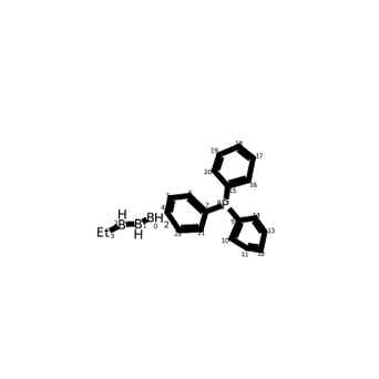 BBBCC.c1ccc(P(c2ccccc2)c2ccccc2)cc1